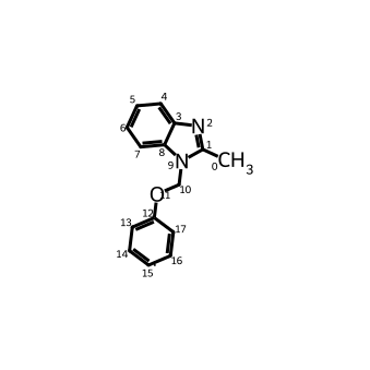 Cc1nc2ccccc2n1COc1cc[c]cc1